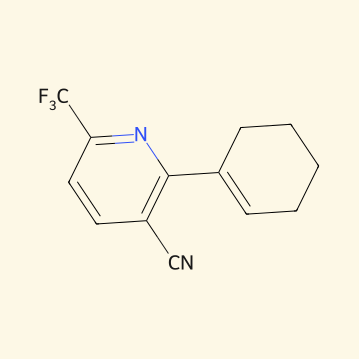 N#Cc1ccc(C(F)(F)F)nc1C1=CCCCC1